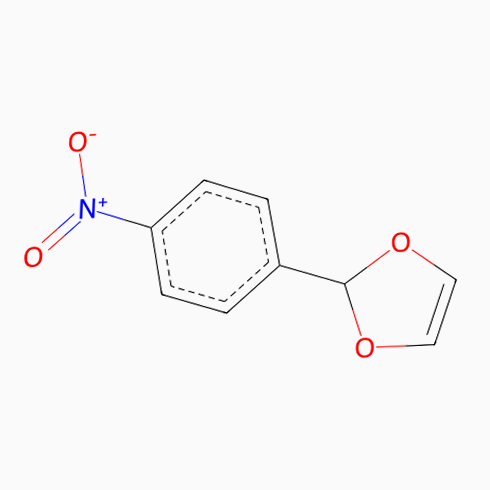 O=[N+]([O-])c1ccc(C2OC=CO2)cc1